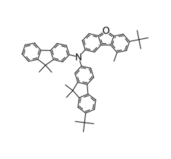 Cc1cc(C(C)(C)C)cc2oc3ccc(N(c4ccc5c(c4)C(C)(C)c4ccccc4-5)c4ccc5c(c4)C(C)(C)c4cc(C(C)(C)C)ccc4-5)cc3c12